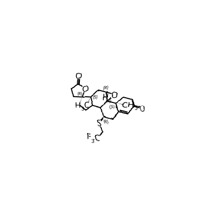 C[C@]12CCC(=O)C=C1C[C@@H](SCC(F)(F)F)C1C3CC[C@@]4(CCC(=O)O4)[C@@]3(C)C[C@H]3O[C@@]132